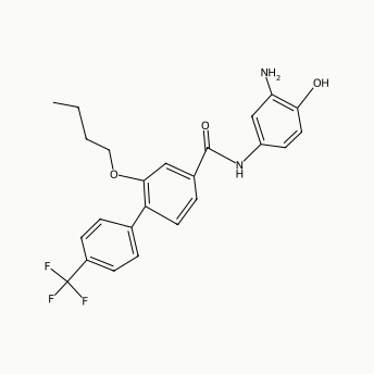 CCCCOc1cc(C(=O)Nc2ccc(O)c(N)c2)ccc1-c1ccc(C(F)(F)F)cc1